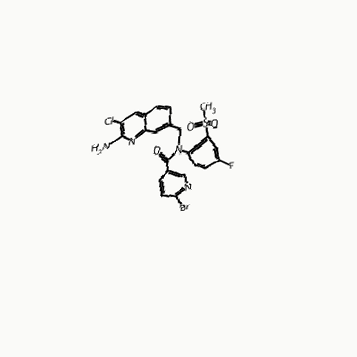 CS(=O)(=O)c1cc(F)ccc1N(Cc1ccc2cc(Cl)c(N)nc2c1)C(=O)c1ccc(Br)nc1